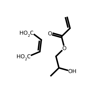 C=CC(=O)OCC(C)O.O=C(O)/C=C\C(=O)O